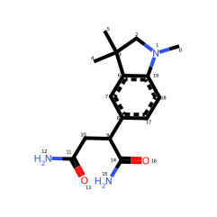 CN1CC(C)(C)c2cc(C(CC(N)=O)C(N)=O)ccc21